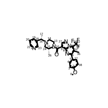 COc1ccc(-c2nc3c(C(=O)N4CCN([C@@H](C)c5cccnc5)C[C@H]4C)cnn3c(C(F)(F)F)c2C)cc1